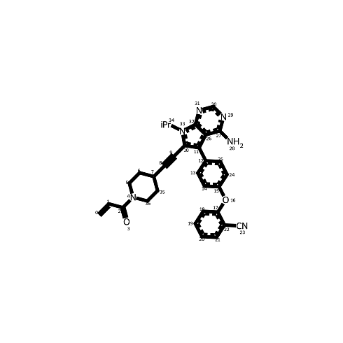 C=CC(=O)N1CCC(C#Cc2c(-c3ccc(Oc4ccccc4C#N)cc3)c3c(N)ncnc3n2C(C)C)CC1